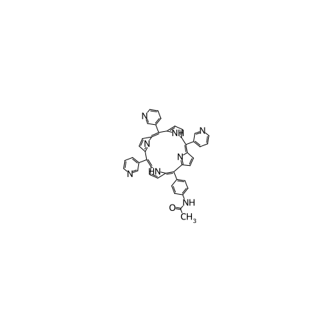 CC(=O)Nc1ccc(-c2c3nc(c(-c4cccnc4)c4ccc([nH]4)c(-c4cccnc4)c4nc(c(-c5cccnc5)c5ccc2[nH]5)C=C4)C=C3)cc1